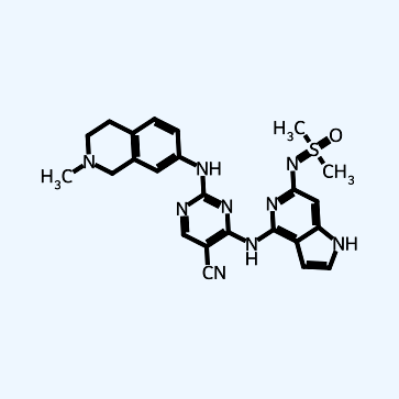 CN1CCc2ccc(Nc3ncc(C#N)c(Nc4nc(N=S(C)(C)=O)cc5[nH]ccc45)n3)cc2C1